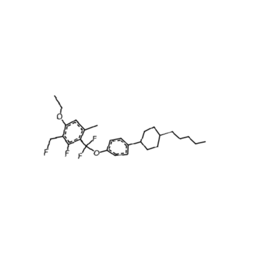 CCCCCC1CCC(c2ccc(OC(F)(F)c3c(C)cc(OCC)c(CF)c3F)cc2)CC1